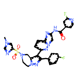 Cn1cnc(S(=O)(=O)N2CCn3nc(-c4ccc(F)cc4)c(-c4ccc5nc(NC(=O)c6ccnc(F)c6)cn5n4)c3C2)c1